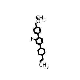 CC=CC1CCC(c2ccc(-c3ccc(COC)cc3)c(F)c2)CC1